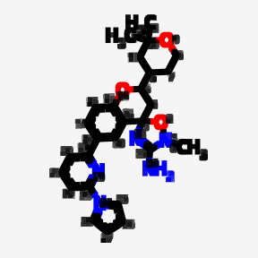 CN1OC2(CC(C3CCOC(C)(C)C3)Oc3ccc(-c4cccc(-n5cccc5)n4)cc32)N=C1N